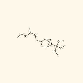 CCOC(C)OCC1CC2CC1CC2[Si](OC)(OC)OC